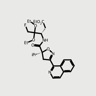 CCOC(=O)C[C@H](NC(=O)[C@]1(C(C)C)CC(c2nccc3ccccc23)=NO1)C(CF)(OCC)OCC